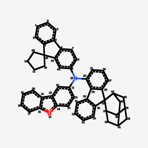 c1ccc2c(c1)-c1ccc(N(c3ccc4oc5ccccc5c4c3)c3cccc4c3-c3ccccc3C43C4CC5CC(C4)CC3C5)cc1C21CCCC1